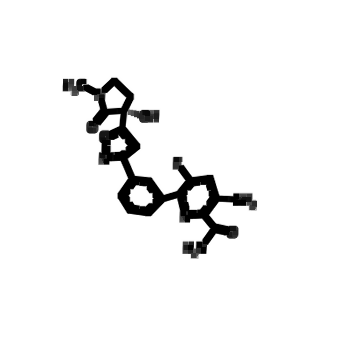 CN1CC[C@@](O)(c2cc(-c3cccc(-c4nc(C(N)=O)c(N)cc4F)c3)no2)C1=O